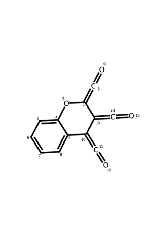 O=C=C1Oc2ccccc2C(=C=O)C1=C=O